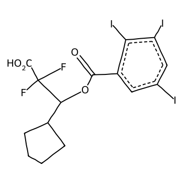 O=C(OC(C1CCCC1)C(F)(F)C(=O)O)c1cc(I)cc(I)c1I